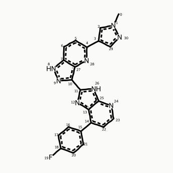 Cn1cc(-c2ccc3[nH]nc(-c4nc5c(-c6ccc(F)cc6)ccnc5[nH]4)c3n2)cn1